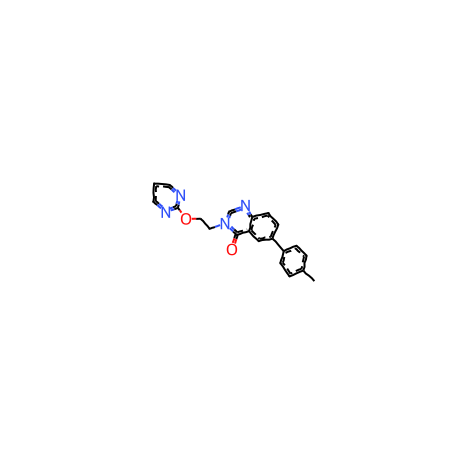 Cc1ccc(-c2ccc3ncn(CCOc4ncccn4)c(=O)c3c2)cc1